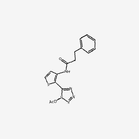 CC(=O)On1nnnc1-c1sccc1NC(=O)CCc1ccccc1